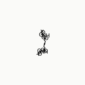 CC(C)(C)OC(=O)NOC(=O)CCC#CCCC(=O)ONC(=O)OC(C)(C)C